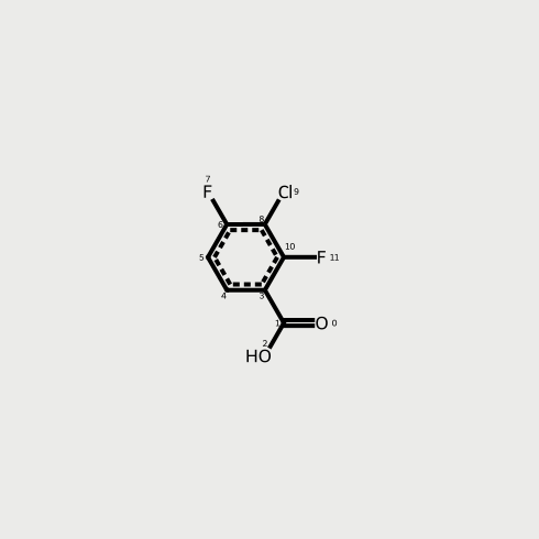 O=C(O)c1ccc(F)c(Cl)c1F